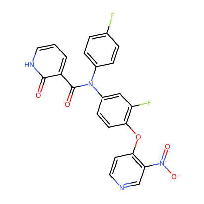 O=C(c1ccc[nH]c1=O)N(c1ccc(F)cc1)c1ccc(Oc2ccncc2[N+](=O)[O-])c(F)c1